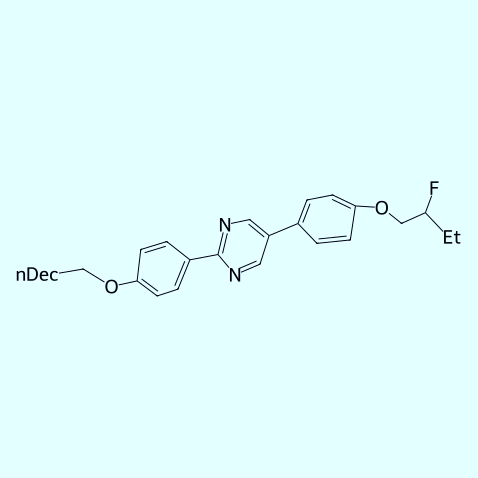 CCCCCCCCCCCOc1ccc(-c2ncc(-c3ccc(OCC(F)CC)cc3)cn2)cc1